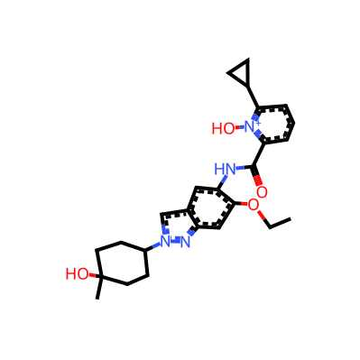 CCOc1cc2nn(C3CCC(C)(O)CC3)cc2cc1NC(=O)c1cccc(C2CC2)[n+]1O